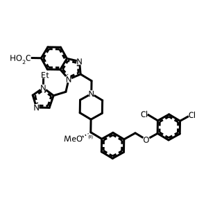 CCn1cncc1Cn1c(CN2CCC([C@@H](OC)c3cccc(COc4ccc(Cl)cc4Cl)c3)CC2)nc2ccc(C(=O)O)cc21